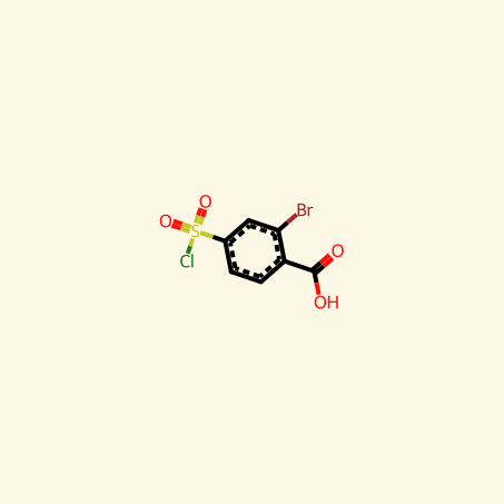 O=C(O)c1ccc(S(=O)(=O)Cl)cc1Br